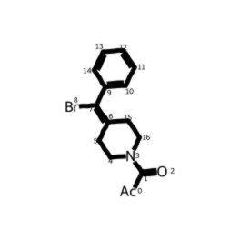 CC(=O)C(=O)N1CCC(=C(Br)c2ccccc2)CC1